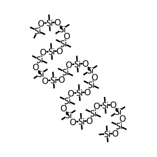 C[Si](C)(C)O[Si](C)(C)O[Si](C)(C)O[Si](C)(C)O[Si](C)(C)O[Si](C)(C)O[Si](C)(C)O[Si](C)(C)O[Si](C)(C)O[Si](C)(C)O[Si](C)(C)O[Si](C)(C)O[Si](C)(C)O[Si](C)(C)O[Si](C)(C)O[Si](C)(C)O[Si](C)(C)O[Si](C)(C)O[Si](C)(C)O[Si](C)(C)O[Si](C)(C)C